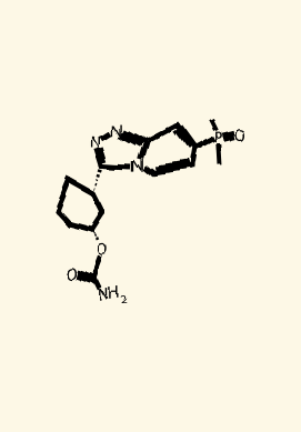 CP(C)(=O)c1ccn2c([C@H]3CCC[C@@H](OC(N)=O)C3)nnc2c1